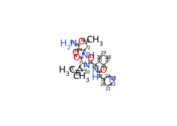 CCCC(NC(=O)C1C2C(CN1C(=O)C(NC(=O)Cc1cccnc1)C1CCCCC1)C2(C)C)C(=O)C(N)=O